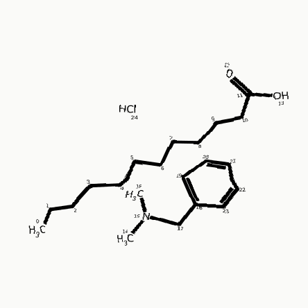 CCCCCCCCCCCC(=O)O.CN(C)Cc1ccccc1.Cl